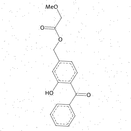 COCC(=O)OCc1ccc(C(=O)c2ccccc2)c(O)c1